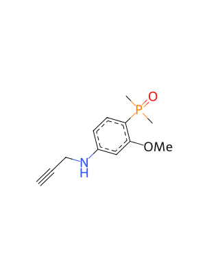 C#CCNc1ccc(P(C)(C)=O)c(OC)c1